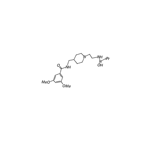 COc1cc(OC)cc(C(=O)NCC2CCN(CCNN(O)C(C)C)CC2)c1